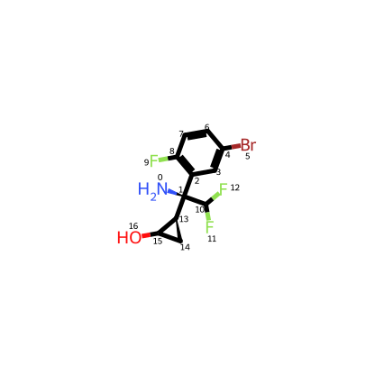 N[C@@](c1cc(Br)ccc1F)(C(F)F)[C@H]1CC1O